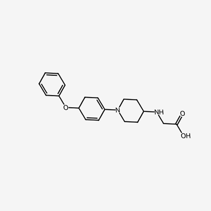 O=C(O)CNC1CCN(C2=CCC(Oc3ccccc3)C=C2)CC1